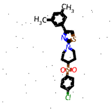 Cc1cc(C)cc(-c2csc(N3CCC(S(=O)(=O)c4ccc(Cl)cc4)CC3)n2)c1